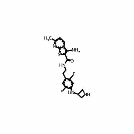 Cc1ccc2c(N)c(C(=O)NCCc3cc(F)c(NC4CNC4)cc3F)sc2n1